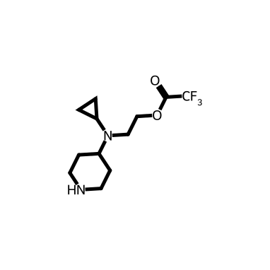 O=C(OCCN(C1CCNCC1)C1CC1)C(F)(F)F